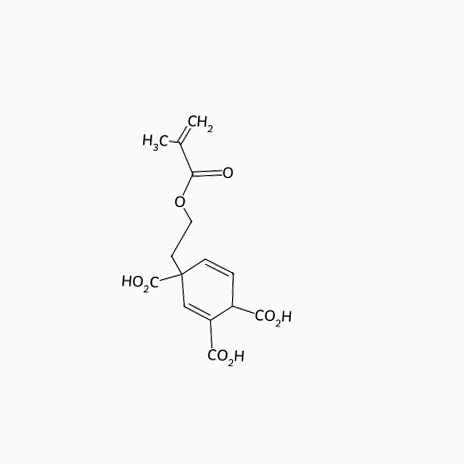 C=C(C)C(=O)OCCC1(C(=O)O)C=CC(C(=O)O)C(C(=O)O)=C1